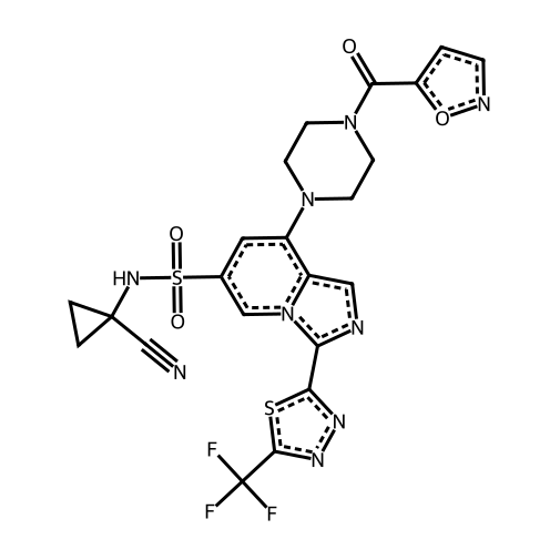 N#CC1(NS(=O)(=O)c2cc(N3CCN(C(=O)c4ccno4)CC3)c3cnc(-c4nnc(C(F)(F)F)s4)n3c2)CC1